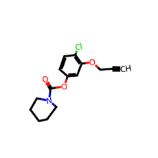 C#CCOc1cc(OC(=O)N2CCCCC2)ccc1Cl